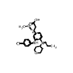 CCCN(c1ccc([C@H](COC)CC(=O)O)cc1Nc1ccc(Cl)cc1)C1CCOCC1